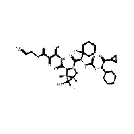 C=CCNC(=O)C(=O)C(CCC)NC(=O)[C@@H]1[C@@H]2[C@H](CN1C(=O)[C@@H](NC(=O)N[C@H](C(=O)C1CC1)C1CCCCC1)C1(C)CCCCC1)C2(C)C